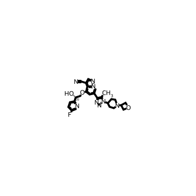 Cc1c(-c2cc(OC[C@@H](O)c3ccc(F)cn3)c3c(C#N)cnn3c2)nnn1C1CCN(C2COC2)CC1